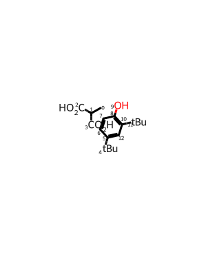 CC(C(=O)O)C(=O)O.CC(C)(C)c1ccc(O)c(C(C)(C)C)c1